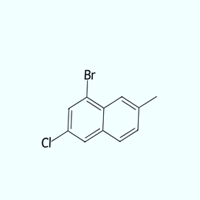 Cc1ccc2cc(Cl)cc(Br)c2c1